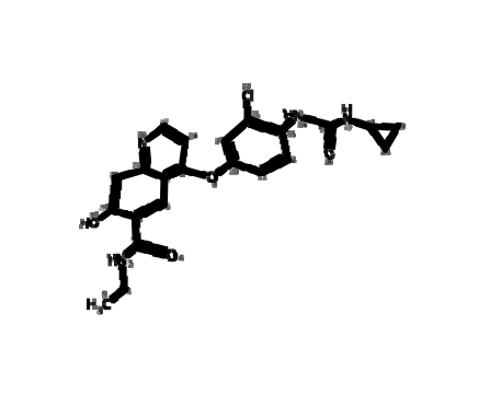 CCNC(=O)c1cc2c(Oc3ccc(NC(=O)NC4CC4)c(Cl)c3)ccnc2cc1O